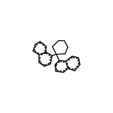 c1ccc2c(C3(c4cccc5ccccc45)CCCCC3)cccc2c1